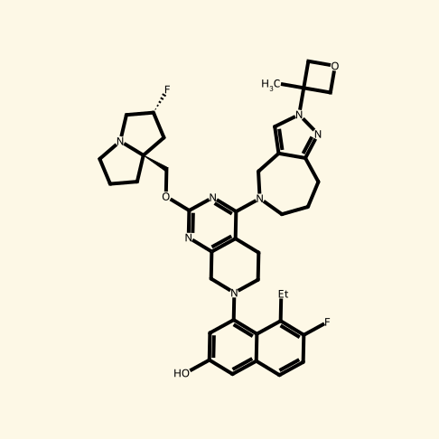 CCc1c(F)ccc2cc(O)cc(N3CCc4c(nc(OC[C@@]56CCCN5C[C@H](F)C6)nc4N4CCCc5nn(C6(C)COC6)cc5C4)C3)c12